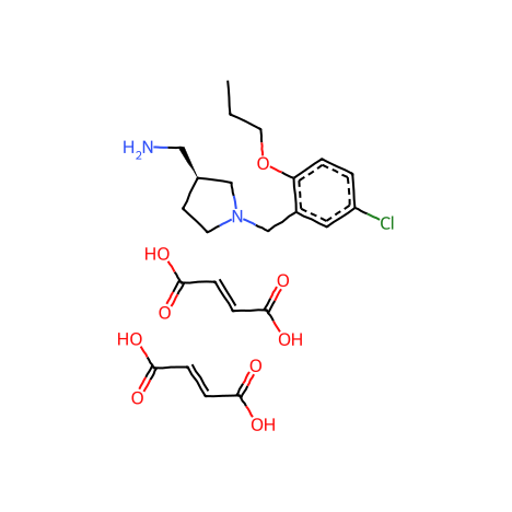 CCCOc1ccc(Cl)cc1CN1CC[C@@H](CN)C1.O=C(O)/C=C/C(=O)O.O=C(O)/C=C/C(=O)O